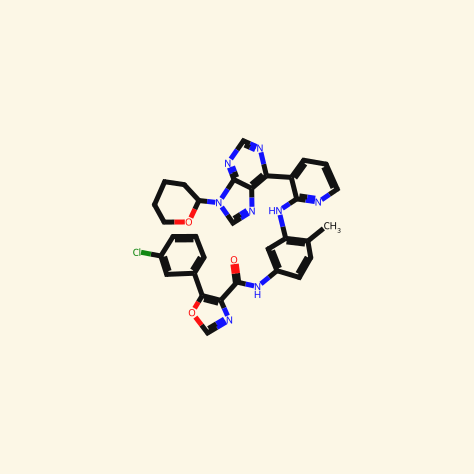 Cc1ccc(NC(=O)c2ncoc2-c2cccc(Cl)c2)cc1Nc1ncccc1-c1ncnc2c1ncn2C1CCCCO1